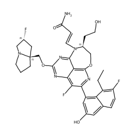 CCc1c(F)ccc2cc(O)cc(-c3nc4c5c(nc(OC[C@@]67CCCN6C[C@H](F)C7)nc5c3F)N(C=CC(N)=O)[C@@H](CCO)CO4)c12